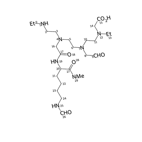 CCNCCN(CCN(CC=O)CCN(CC)CC(=O)O)CC(=O)NC(CCCCNC=O)C(=O)NC